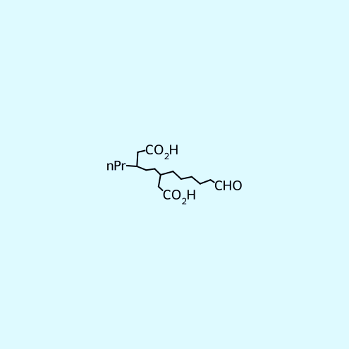 CCCC(CCC(CCCCCC=O)CC(=O)O)CC(=O)O